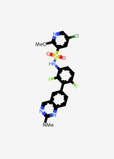 CNc1ncc2cc(-c3c(F)ccc(NS(=O)(=O)c4cc(Cl)cnc4OC)c3F)ccc2n1